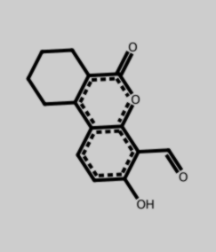 O=Cc1c(O)ccc2c3c(c(=O)oc12)CCCC3